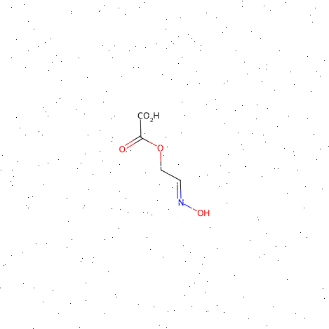 O=C(O)C(=O)OCC=NO